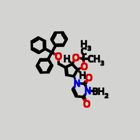 Bn1c(=O)ccn([C@@H]2C=C(COC(c3ccccc3)(c3ccccc3)c3ccccc3)[C@H]3OC(C)(C)O[C@H]32)c1=O